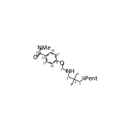 CCCC(C)CC(C)(C)CNCOc1ccc(C(=O)NC)cc1